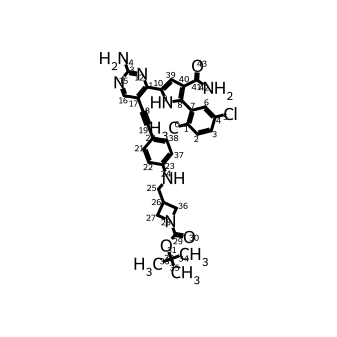 Cc1ccc(Cl)cc1-c1[nH]c(-c2nc(N)ncc2C#Cc2ccc(NCC3CN(C(=O)OC(C)(C)C)C3)cc2)cc1C(N)=O